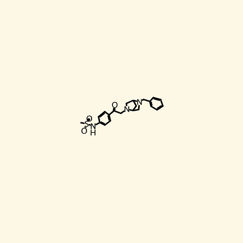 CS(=O)(=O)Nc1ccc(C(=O)CN2CC3CC2CN3Cc2ccccc2)cc1